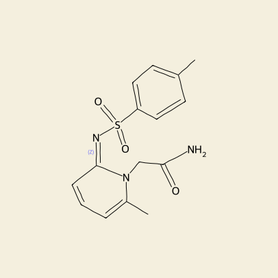 Cc1ccc(S(=O)(=O)/N=c2/cccc(C)n2CC(N)=O)cc1